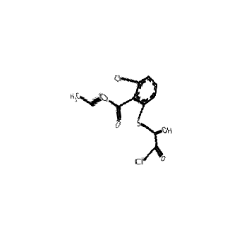 CCOC(=O)c1c(Cl)cccc1SC(O)C(=O)Cl